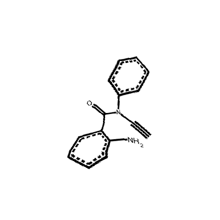 C#CN(C(=O)c1ccccc1N)c1ccccc1